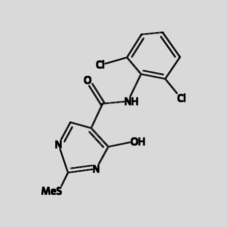 CSc1ncc(C(=O)Nc2c(Cl)cccc2Cl)c(O)n1